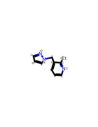 CCc1ncccc1Cn1cccn1